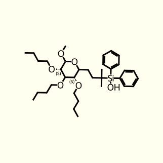 CCCCOC1[C@H](OCCCC)C(OC)OC(CCC(C)(C)[Si](O)(c2ccccc2)c2ccccc2)[C@@H]1OCCCC